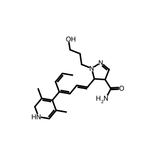 C\C=C/C(=C\C=C\C1C(C(N)=O)C=NN1CCCO)C1=C(C)CNC=C1C